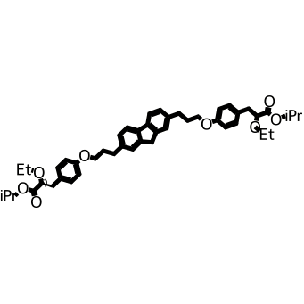 CCOC(Cc1ccc(OCCCc2ccc3c(c2)Cc2cc(CCCOc4ccc(C[C@H](OCC)C(=O)OC(C)C)cc4)ccc2-3)cc1)C(=O)OC(C)C